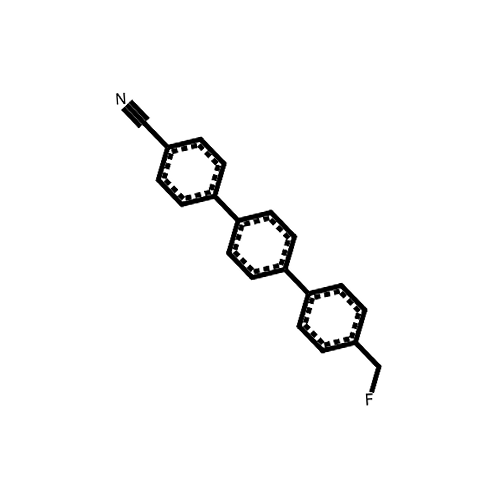 N#Cc1ccc(-c2ccc(-c3ccc(CF)cc3)cc2)cc1